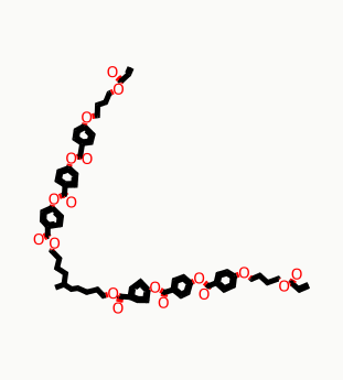 C=CC(=O)OCCCCOc1ccc(C(=O)Oc2ccc(C(=O)Oc3ccc(C(=O)OCCCCCC(C)CCCCOC(=O)c4ccc(OC(=O)c5ccc(OC(=O)c6ccc(OCCCCOC(=O)C=C)cc6)cc5)cc4)cc3)cc2)cc1